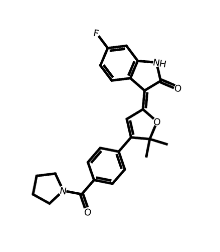 CC1(C)OC(=C2C(=O)Nc3cc(F)ccc32)C=C1c1ccc(C(=O)N2CCCC2)cc1